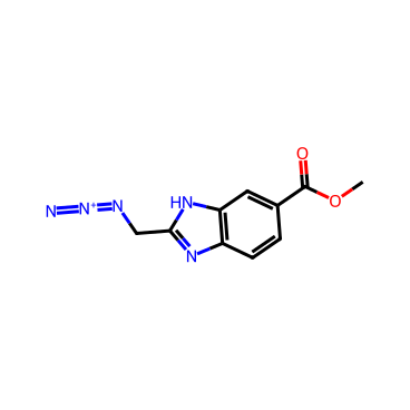 COC(=O)c1ccc2nc(CN=[N+]=[N-])[nH]c2c1